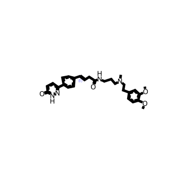 COc1ccc(CCN(C)CCCNC(=O)C/C=C/c2ccc(-c3ccc(=O)[nH]n3)cc2)cc1OC